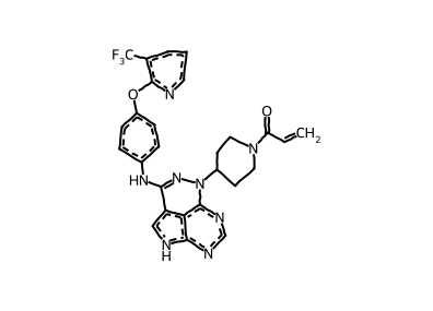 C=CC(=O)N1CCC(N2N=C(Nc3ccc(Oc4ncccc4C(F)(F)F)cc3)c3c[nH]c4ncnc2c34)CC1